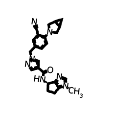 Cn1cnc2c1CC[C@H]2NC(=O)c1cnn(Cc2ccc(N3CC4CC4C3)c(C#N)c2)c1